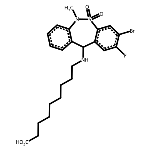 CN1c2ccccc2C(NCCCCCCCCC(=O)O)c2cc(F)c(Br)cc2S1(=O)=O